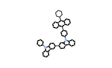 c1ccc(-n2c3ccccc3c3cc(-c4ccc5c6ccccc6n(-c6ccc(-c7c8ccccc8c(C8CCCCC8)c8ccccc78)cc6)c5c4)ccc32)cc1